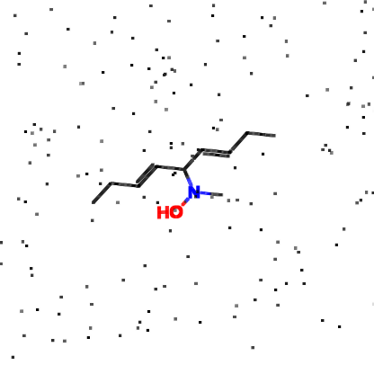 CCC=CC(C=CCC)N(C)O